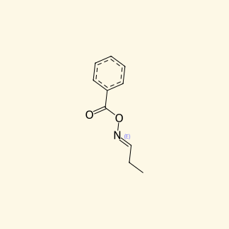 CC/C=N/OC(=O)c1ccccc1